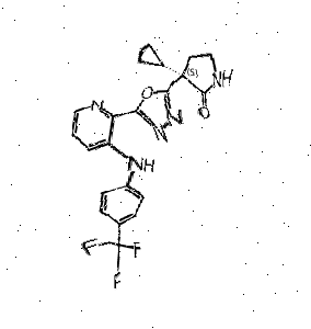 O=C1NCC[C@@]1(c1nnc(-c2ncccc2Nc2ccc(C(F)(F)F)cc2)o1)C1CC1